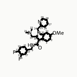 COc1ccc2c(C(=O)NCc3ccc(F)c(F)c3)c(CN(C)C)n(Cc3ccccn3)c2c1